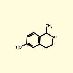 CC1N[C]Cc2cc(O)ccc21